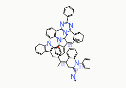 C=C/C=C1/c2ccccc2N(c2c(-c3nc(C4=CCCC=C4)nc(-c4ccccc4)n3)cccc2-n2c(C)c(CC(C=C)/C(C)=C3/C/C(=C\N=C)N(/C(C=C)=C/C)c4ccccc43)c3c2CCC=C3)C1C